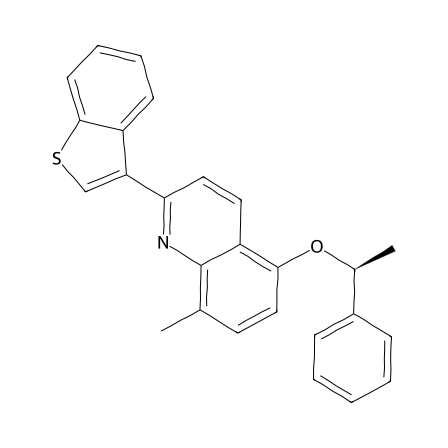 Cc1ccc(O[C@@H](C)c2ccccc2)c2ccc(-c3csc4ccccc34)nc12